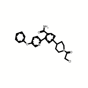 NC(=O)c1ccc(C2CCN(C(=O)CCl)CC2)cc1-c1ccc(Oc2ccccc2)cn1